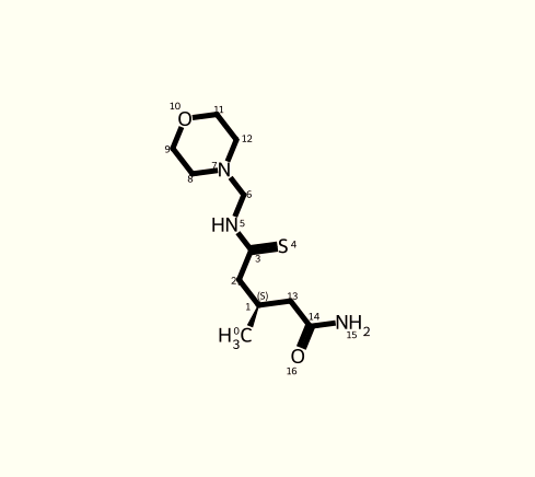 C[C@@H]([CH]C(=S)NCN1CCOCC1)CC(N)=O